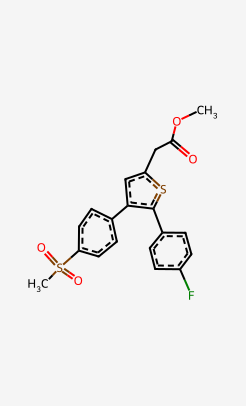 COC(=O)Cc1cc(-c2ccc(S(C)(=O)=O)cc2)c(-c2ccc(F)cc2)s1